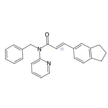 O=C(/C=C/c1ccc2c(c1)CCC2)N(Cc1ccccc1)c1ccccn1